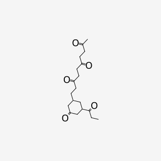 CCC(=O)C1CC(=O)CC(CCC(=O)CCC(=O)CCC(C)=O)C1